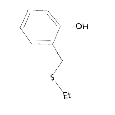 CCSCc1ccccc1O